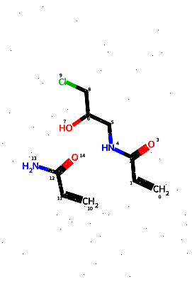 C=CC(=O)NCC(O)CCl.C=CC(N)=O